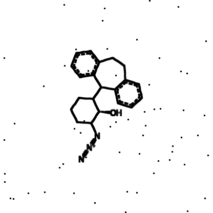 [N-]=[N+]=NC1CCCC(C2c3ccccc3CCc3ccccc32)[C@H]1O